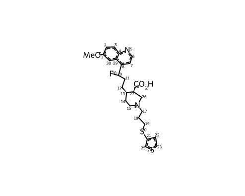 COc1ccc2nccc(C(F)CC[C@@H]3CCN(CCCSc4ccsc4)C[C@@H]3C(=O)O)c2c1